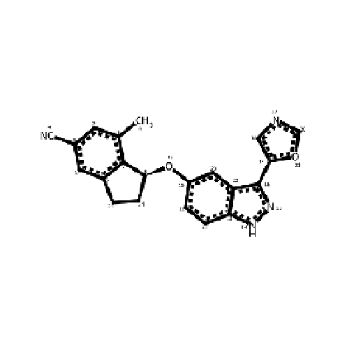 Cc1cc(C#N)cc2c1[C@@H](Oc1ccc3[nH]nc(-c4cnco4)c3c1)CC2